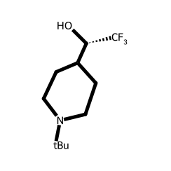 CC(C)(C)N1CCC([C@H](O)C(F)(F)F)CC1